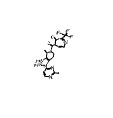 Cc1nccc(N2NNC3=C2CCN(C(=O)c2ccnc(C(F)(F)F)c2Cl)C3C)n1